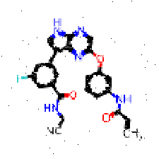 C=CC(=O)Nc1cccc(Oc2cnc3[nH]cc(-c4cc(F)cc(C(=O)NCC#N)c4)c3n2)c1